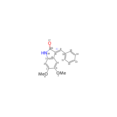 COc1cc2c(cc1OC)/C(=C\c1cc[c]cc1)C(=O)N2